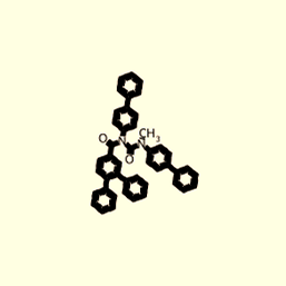 CN(C(=O)N(C(=O)c1ccc(-c2ccccc2)c(-c2ccccc2)c1)c1ccc(-c2ccccc2)cc1)c1ccc(-c2ccccc2)cc1